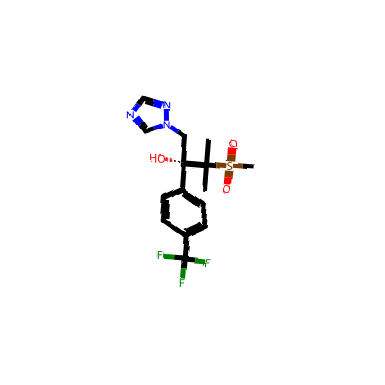 CC(C)([C@](O)(Cn1cncn1)c1ccc(C(F)(F)F)cc1)S(C)(=O)=O